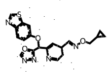 C1=NC(C(Oc2ccc3ncsc3c2)c2nnco2)=CC(/C=N/OCC2CC2)C1